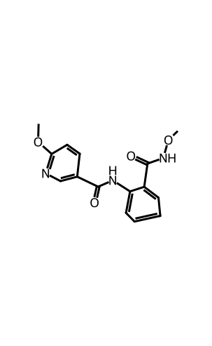 CONC(=O)c1ccccc1NC(=O)c1ccc(OC)nc1